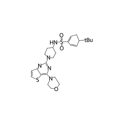 CC(C)(C)C1C=CC(S(=O)(=O)NC2CCN(c3nc(N4CCOCC4)c4sccc4n3)CC2)=CC1